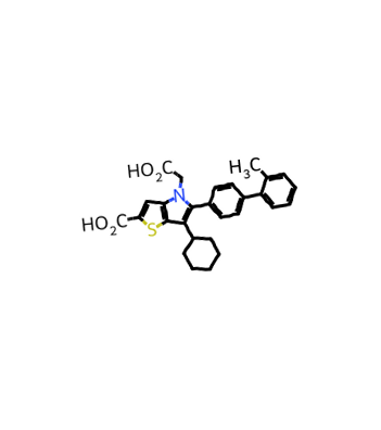 Cc1ccccc1-c1ccc(-c2c(C3CCCCC3)c3sc(C(=O)O)cc3n2CC(=O)O)cc1